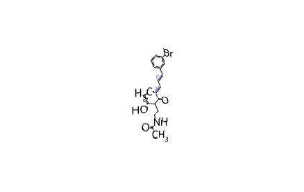 CC(=O)NCCC(C(=O)/C(C)=C/C=C/c1cccc(Br)c1)C(O)=S